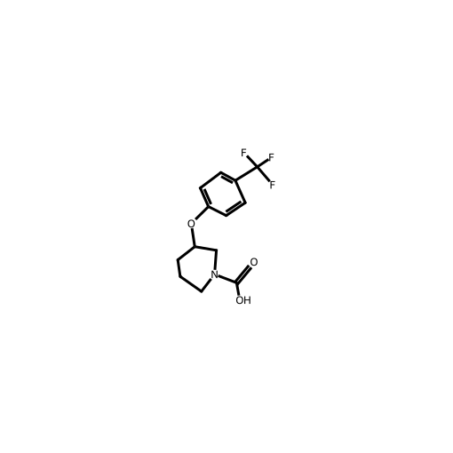 O=C(O)N1CCCC(Oc2ccc(C(F)(F)F)cc2)C1